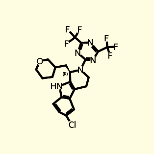 FC(F)(F)c1nc(N2CCc3c([nH]c4ccc(Cl)cc34)[C@H]2CC2CCCOC2)nc(C(F)(F)F)n1